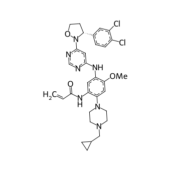 C=CC(=O)Nc1cc(Nc2cc(N3OCC[C@@H]3c3ccc(Cl)c(Cl)c3)ncn2)c(OC)cc1N1CCN(CC2CC2)CC1